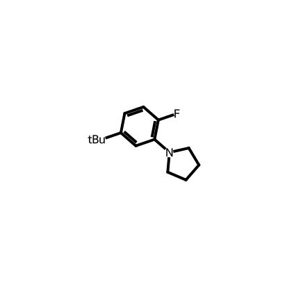 CC(C)(C)c1ccc(F)c(N2CCCC2)c1